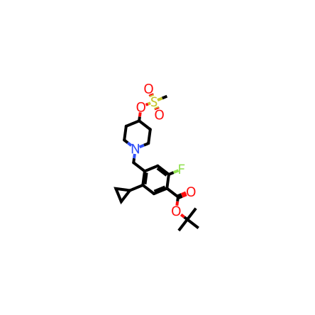 CC(C)(C)OC(=O)c1cc(C2CC2)c(CN2CCC(OS(C)(=O)=O)CC2)cc1F